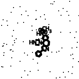 CS(=O)(=O)Nc1ccc2c(c1)C(N1CCNCC1)c1cc(-c3ccccc3)cnc1C=C2